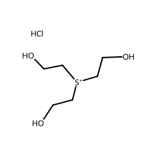 Cl.OCC[S+](CCO)CCO